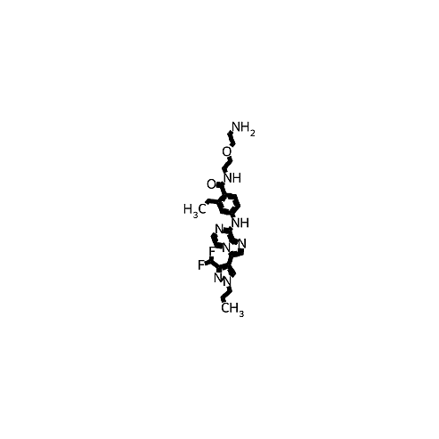 CCCn1cc(-c2cnc3c(Nc4ccc(C(=O)NCCOCCN)c(CC)c4)nccn23)c(C(F)F)n1